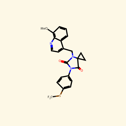 COc1cccc2c(CN3C(=O)N(c4ccc(SC(F)(F)F)cc4)C(=O)C34CC4)ccnc12